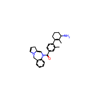 CC1=C(c2ccc(C(=O)N3C=C4CC=CN4Cc4ccccc43)cc2C)CCCC1N